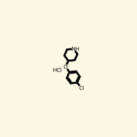 Cl.Clc1ccc(OC2CCNCC2)cc1